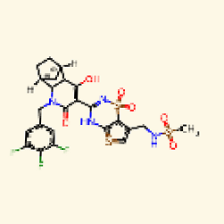 CS(=O)(=O)NCc1csc2c1S(=O)(=O)N=C(C1=C(O)C3C([C@@H]4CC[C@H]3C4)N(Cc3cc(F)c(F)c(F)c3)C1=O)N2